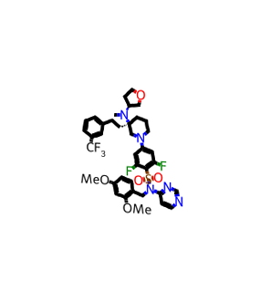 COc1ccc(CN(c2ccncn2)S(=O)(=O)c2c(F)cc(N3CCC[C@](CCc4cccc(C(F)(F)F)c4)(N(C)[C@H]4CCOC4)C3)cc2F)c(OC)c1